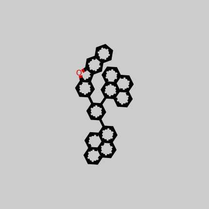 c1ccc2cc3c(cc2c1)oc1ccc(-c2ccc(-c4ccc5ccc6cccc7ccc4c5c67)cc2-c2cc4cccc5ccc6cccc2c6c54)cc13